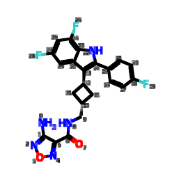 Nc1nonc1C(=O)NC[C@H]1C[C@H](c2c(-c3ccc(F)cc3)[nH]c3c(F)cc(F)cc32)C1